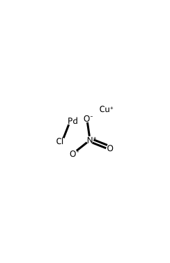 O=[N+]([O-])[O-].[Cl][Pd].[Cu+]